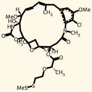 COc1cc2cc(c1Cl)N(C)C(=O)C[C@H](OC(=O)[C@H](C)OCCSSC)[C@@]1(C)CC(C)(O1)[C@@H]1C[C@@](O)(NC(=O)O1)[C@H](OC)/C=C/C=C(\C)C2